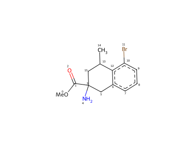 COC(=O)C1(N)Cc2cccc(Br)c2C(C)C1